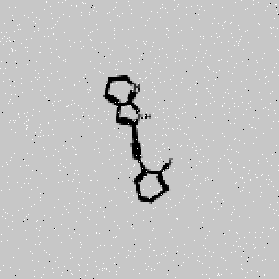 FC1=CCCC=C1C#Cc1cc2c([nH]1)=NCCC=2